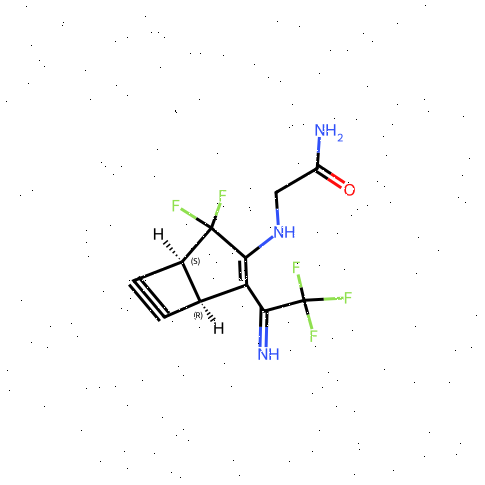 N=C(C1=C(NCC(N)=O)C(F)(F)[C@@H]2C#C[C@H]12)C(F)(F)F